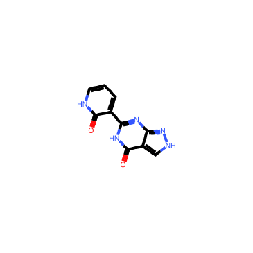 O=c1[nH]cccc1-c1nc2n[nH]cc2c(=O)[nH]1